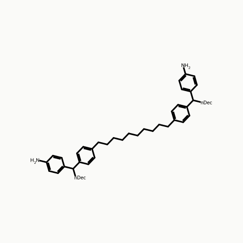 CCCCCCCCCCC(c1ccc(N)cc1)c1ccc(CCCCCCCCCCc2ccc(C(CCCCCCCCCC)c3ccc(N)cc3)cc2)cc1